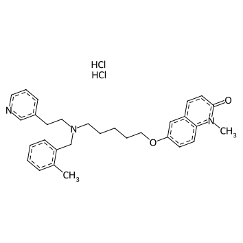 Cc1ccccc1CN(CCCCCOc1ccc2c(ccc(=O)n2C)c1)CCc1cccnc1.Cl.Cl